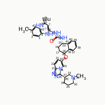 Cc1ccc(N/C(=C\C(=N)C(C)(C)C)NC(=O)N[C@H]2CC[C@@H](Oc3ccc4nnc([C@@H]5CCCN(C)C5)n4c3)c3ccccc32)cc1